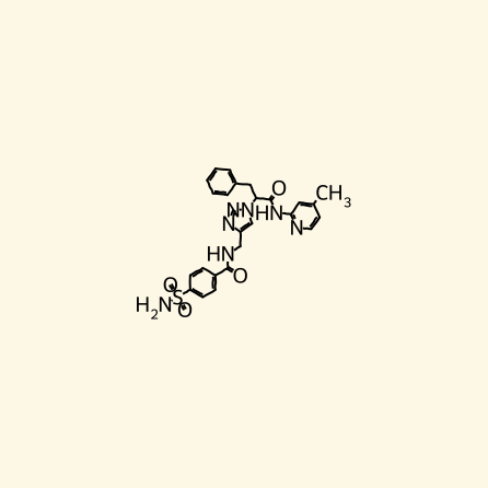 Cc1ccnc(NC(=O)C(Cc2ccccc2)n2cc(CNC(=O)c3ccc(S(N)(=O)=O)cc3)nn2)c1